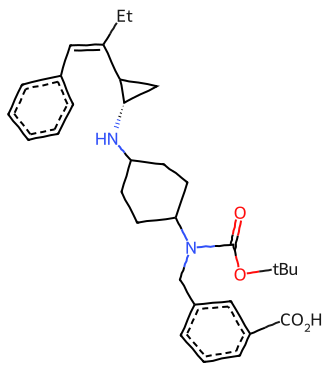 CCC(=Cc1ccccc1)C1C[C@@H]1NC1CCC(N(Cc2cccc(C(=O)O)c2)C(=O)OC(C)(C)C)CC1